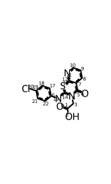 O=C(O)Cn1c(=O)c2cccnc2s/c1=N\c1ccc(Cl)cc1